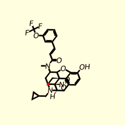 CN(C(=O)/C=C/c1cccc(OC(F)(F)F)c1)C1CC[C@@]2([N+](=O)[O-])[C@H]3Cc4ccc(O)c5c4[C@@]2(CCN3CC2CC2)C1O5